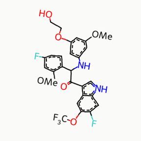 COc1cc(NC(C(=O)c2c[nH]c3cc(F)c(OC(F)(F)F)cc23)c2ccc(F)cc2OC)cc(OCCO)c1